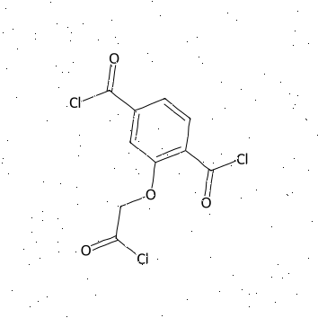 O=C(Cl)COc1cc(C(=O)Cl)ccc1C(=O)Cl